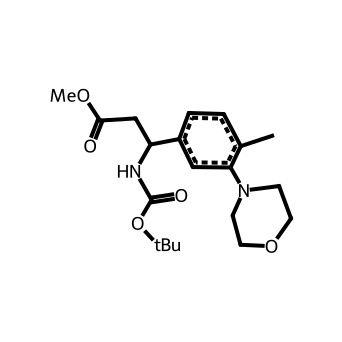 COC(=O)CC(NC(=O)OC(C)(C)C)c1ccc(C)c(N2CCOCC2)c1